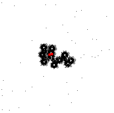 c1cc(-n2c3ccccc3c3cc4c(cc32)c2ccccc2n4-c2cccc3ccccc23)nc(-n2c3ccccc3c3ccc4c5ccccc5n(-c5cccc6ccccc56)c4c32)c1